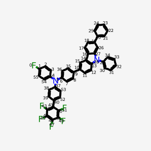 Fc1ccc(N(c2ccc(-c3ccc4c(c3)c3ccc(-c5ccccc5)cc3n4-c3ccccc3)cc2)c2ccc(-c3c(F)c(F)c(F)c(F)c3F)cc2)cc1